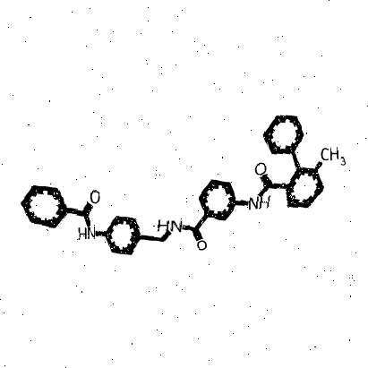 Cc1cccc(C(=O)Nc2cccc(C(=O)NCc3ccc(NC(=O)c4ccccc4)cc3)c2)c1-c1ccccc1